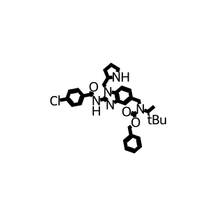 C[C@H](N(Cc1ccc2c(c1)nc(NC(=O)c1ccc(Cl)cc1)n2CC1CCCN1)C(=O)OCc1ccccc1)C(C)(C)C